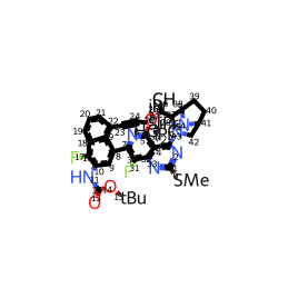 CSc1nc2c3c(nc(-c4cc(NC(=O)OC(C)(C)C)c(F)c5cccc(C#C[Si](C(C)C)(C(C)C)C(C)C)c45)c(F)c3n1)OC(C)C1C3CCC(CN21)N3C(=O)O